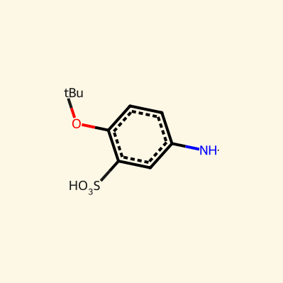 CC(C)(C)Oc1ccc([NH])cc1S(=O)(=O)O